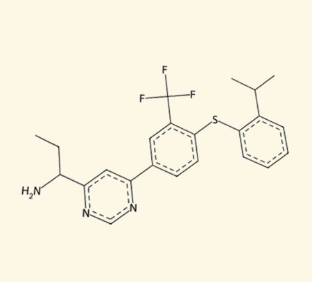 CCC(N)c1cc(-c2ccc(Sc3ccccc3C(C)C)c(C(F)(F)F)c2)ncn1